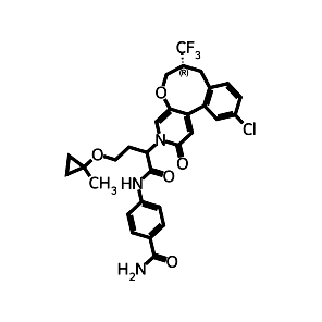 CC1(OCCC(C(=O)Nc2ccc(C(N)=O)cc2)n2cc3c(cc2=O)-c2cc(Cl)ccc2C[C@@H](C(F)(F)F)CO3)CC1